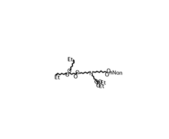 CC/C=C\CCCCOC(CCC(=O)OCCCCCCN(CCCCCCCC(=O)OCCCCCCCCC)CCCCOP(OCC)OCC)OCCCC/C=C\CC